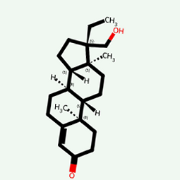 CC[C@]1(CO)CC[C@H]2[C@@H]3CCC4=CC(=O)CC[C@]4(C)[C@H]3CC[C@@]21C